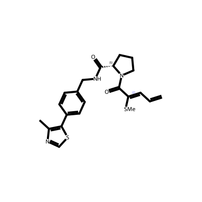 C=C/C=C(\SC)C(=O)N1CCC[C@H]1C(=O)NCc1ccc(-c2scnc2C)cc1